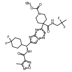 Cc1nonc1C(=O)N[C@H](c1cn2ncc(C3(C(=O)NCC(C)(F)F)CCN(C(=O)OC(C)(C)C)CC3)nc2n1)C1CCC(F)(F)CC1